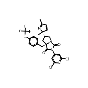 CC1=NC(C)([C@@H]2CN3C(=O)N(c4cc(Cl)nc(Cl)c4)C(=O)[C@]3(Cc3ccc(OC(F)(F)F)cc3)C2)C=C1